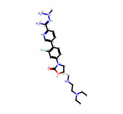 CCN(CC)CCNC[C@H]1CN(c2ccc(-c3ccc(/C(N)=N/N(C)N)nc3)c(F)c2)C(=O)O1